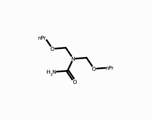 CCCOCN(COCCC)C(N)=O